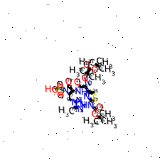 Cc1nnnn1C[C@@H]1[C@H](NC(=O)/C(=N\OC(C)(C)C(=O)OC(C)(C)C)c2csc(NC(=O)OC(C)(C)C)n2)C(=O)N1S(=O)(=O)O